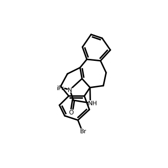 CC(C)N1C(=O)NC23CCc4ccccc4C(=C12)CCc1ccc(Br)cc13